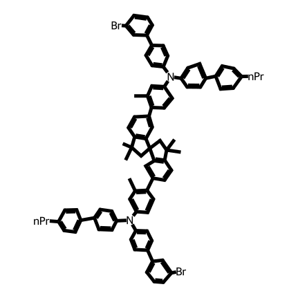 CCCc1ccc(-c2ccc(N(c3ccc(-c4cccc(Br)c4)cc3)c3ccc(-c4ccc5c(c4)C4(CC5(C)C)CC(C)(C)c5ccc(-c6ccc(N(c7ccc(-c8ccc(CCC)cc8)cc7)c7ccc(-c8cccc(Br)c8)cc7)cc6C)cc54)c(C)c3)cc2)cc1